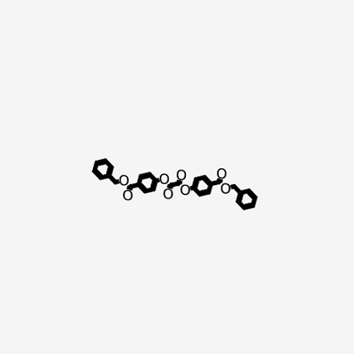 O=C(Oc1ccc(C(=O)OCc2ccccc2)cc1)C(=O)Oc1ccc(C(=O)OCc2ccccc2)cc1